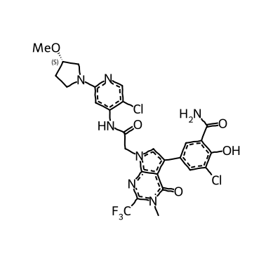 CO[C@H]1CCN(c2cc(NC(=O)Cn3cc(-c4cc(Cl)c(O)c(C(N)=O)c4)c4c(=O)n(C)c(C(F)(F)F)nc43)c(Cl)cn2)C1